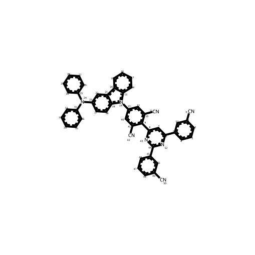 N#Cc1cccc(-c2cc(-c3c(C#N)cc(-n4c5ccccc5c5cc(N(c6ccccc6)c6ccccc6)ccc54)cc3C#N)nc(-c3cccc(C#N)c3)n2)c1